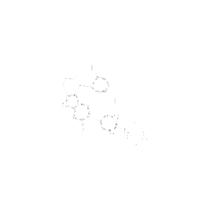 Fc1cc2nc3c(n2cc1-c1cnc(N2CCOCC2)nc1)C(c1cc(Cl)ccc1F)OCC3